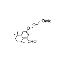 COCCOCOc1[c]c(C=O)c2c(c1)C(C)(C)CCC2(C)C